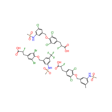 CS(=O)(=O)Nc1cc(COc2c(Br)cc(CC(F)C(=O)O)cc2Br)cc(C(F)(F)F)c1.CS(=O)(=O)Nc1cc(Cl)cc(COc2c(Cl)cc(CC(F)C(=O)O)cc2Cl)c1.Cc1cc(COc2c(Cl)cc(CC(F)C(=O)O)cc2Cl)cc(NS(C)(=O)=O)c1